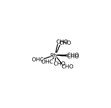 O=[CH][Rh]([CH]=O)([CH]=O)([CH]=O)([CH]=O)([CH]=O)([CH]=O)[CH]=O